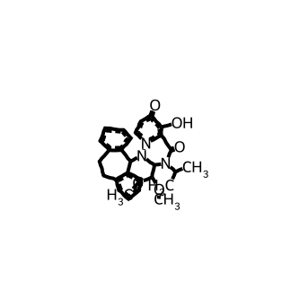 COC(OC)C1N(C(C)C)C(=O)c2c(O)c(=O)ccn2N1C1c2ccccc2CCc2ccccc21